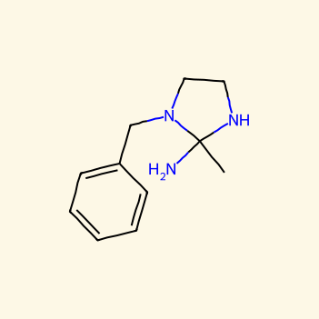 CC1(N)NCCN1Cc1ccccc1